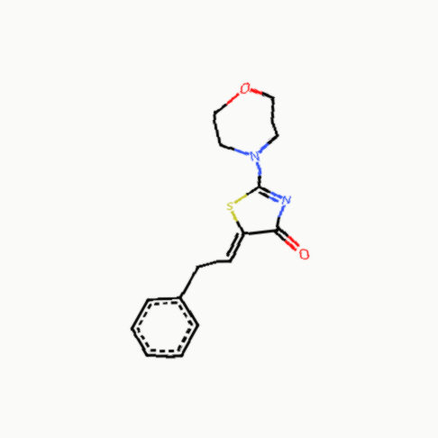 O=C1N=C(N2CCOCC2)SC1=CCc1ccccc1